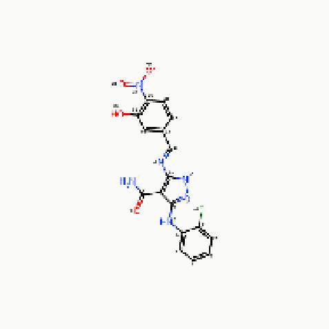 NC(=O)c1c(Nc2ccccc2Cl)n[nH]c1/N=C/c1ccc([N+](=O)[O-])c(O)c1